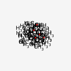 CC1=C(C)[C]([Ti+3])([Si](c2cc(N(C)C)c(C)c(N(C)C)c2N(C)C)(c2cc(N(C)C)c(C)c(N(C)C)c2N(C)C)c2cc(N(C)C)c(C)c(N(C)C)c2N(C)C)C(C)=C1C.[Cl-].[Cl-].[Cl-]